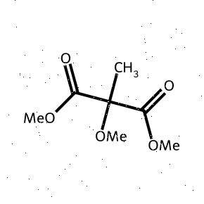 COC(=O)C(C)(OC)C(=O)OC